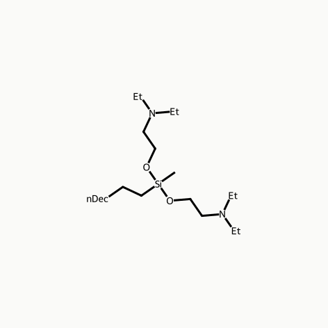 CCCCCCCCCCCC[Si](C)(OCCN(CC)CC)OCCN(CC)CC